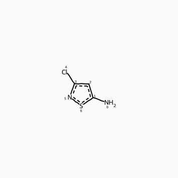 Nc1cc(Cl)ns1